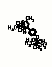 CCCC(N[S+]([O-])C(C)(C)C)c1ccc(O[Si](C)(C)C(C)(C)C)cc1